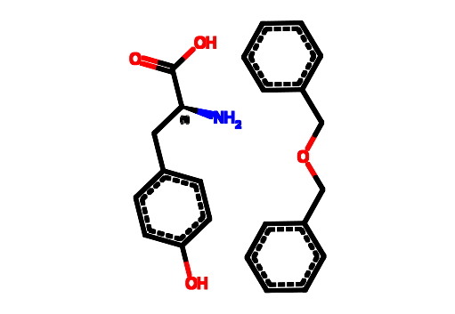 N[C@@H](Cc1ccc(O)cc1)C(=O)O.c1ccc(COCc2ccccc2)cc1